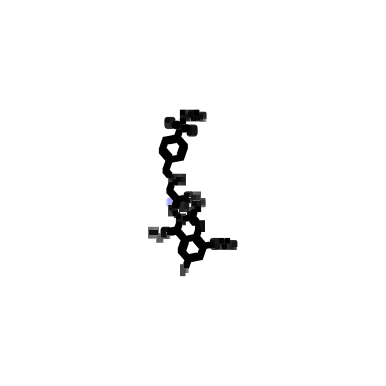 C=C1c2cc(F)cc(OC)c2N=C(N)N1/N=C(\C)CNCc1ccc(S(=O)(=O)NC)cc1